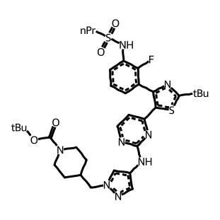 CCCS(=O)(=O)Nc1cccc(-c2nc(C(C)(C)C)sc2-c2ccnc(Nc3cnn(CC4CCN(C(=O)OC(C)(C)C)CC4)c3)n2)c1F